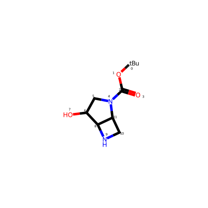 CC(C)(C)OC(=O)N1CC(O)C2NCC21